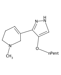 CCCCCOc1c[nH]nc1C1=CCCN(C)C1